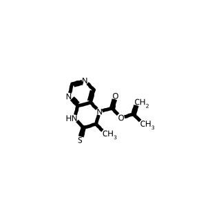 C=C(C)OC(=O)N1c2cncnc2NC(=S)C1C